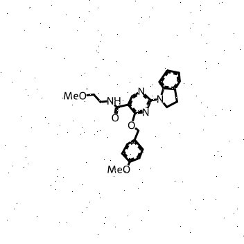 COCCNC(=O)c1cnc(N2CCc3ccccc32)nc1OCc1ccc(OC)cc1